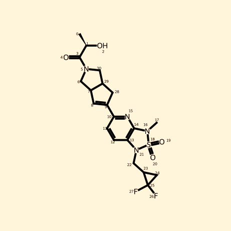 C[C@@H](O)C(=O)N1CC2C=C(c3ccc4c(n3)N(C)S(=O)(=O)N4CC3CC3(F)F)CC2C1